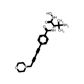 CC(C)(N)[C@H](NC(=O)c1ccc(C#CC#CCN2CCOCC2)cc1)C(=O)NO